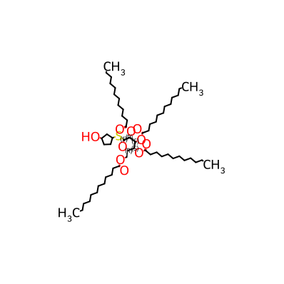 CCCCCCCCCCCC(=O)OC[C@H]1O[C@@H](SC2CCC(O)C2)[C@H](OC(=O)CCCCCCCCCCC)[C@@H](OC(=O)CCCCCCCCCCC)[C@H]1OC(=O)CCCCCCCCCCC